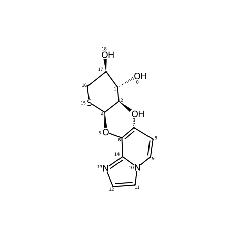 O[C@@H]1[C@@H](O)[C@@H](Oc2cccn3ccnc23)SC[C@H]1O